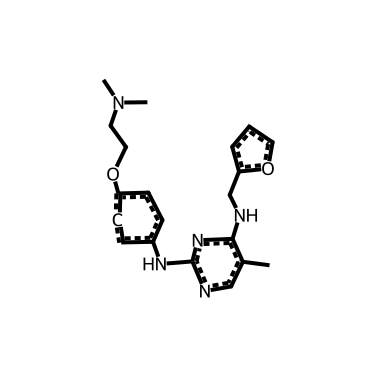 Cc1cnc(Nc2ccc(OCCN(C)C)cc2)nc1NCc1ccco1